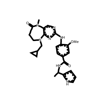 COc1cc(C(=O)NC(C)c2ccc[nH]2)ccc1Nc1ncc2c(n1)N(CC1CC1)CCC(=O)N2C